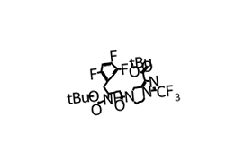 CC(C)(C)OC(=O)NC(CC(=O)N1CCn2c(C(F)(F)F)nc(C(=O)OC(C)(C)C)c2C1)Cc1cc(F)c(F)cc1F